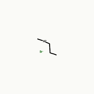 CC[CH2][Al+][CH3].[Br-]